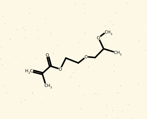 C=C(C)C(=O)OCCOCC(C)OC